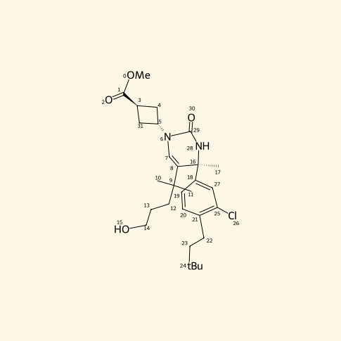 COC(=O)[C@H]1C[C@H](N2C=C(C(C)(C)CCCO)[C@](C)(c3ccc(CCC(C)(C)C)c(Cl)c3)NC2=O)C1